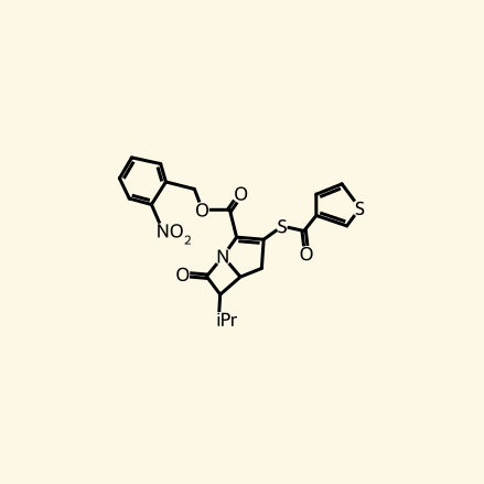 CC(C)C1C(=O)N2C(C(=O)OCc3ccccc3[N+](=O)[O-])=C(SC(=O)c3ccsc3)CC12